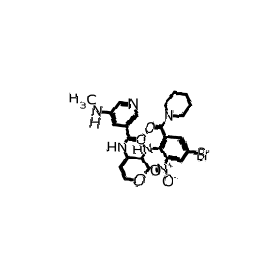 CNc1cncc(C(=O)NC2CCOCC2Nc2c(C(=O)N3CCCCC3)cc(Br)cc2[N+](=O)[O-])c1